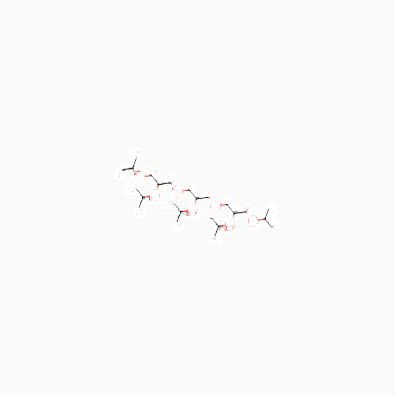 CC(C)OCC(COCC(COCC(COC(C)C)OC(C)C)OC(C)C)OC(C)C